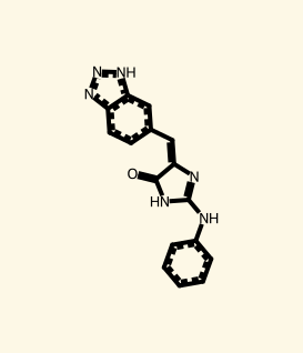 O=C1NC(Nc2ccccc2)=NC1=Cc1ccc2nn[nH]c2c1